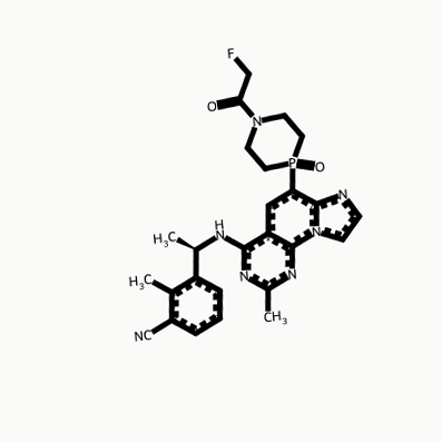 Cc1nc(N[C@H](C)c2cccc(C#N)c2C)c2cc(P3(=O)CCN(C(=O)CF)CC3)c3nccn3c2n1